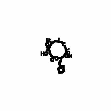 CC[C@@H]1C[C@@H](C)CCC[C@@]2(C)O[C@@]2(O)C[C@@H](C=Cc2ccccn2)OC(=O)C[C@H](O)C(C)(C)C1=O